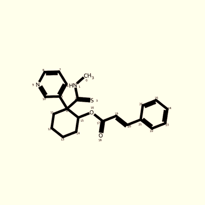 CNC(=S)C1(c2cccnc2)CCCCC1OC(=O)C=Cc1ccccc1